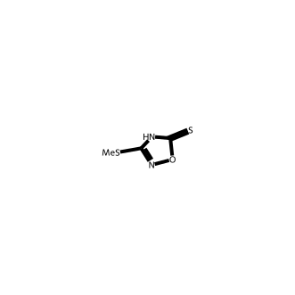 CSc1noc(=S)[nH]1